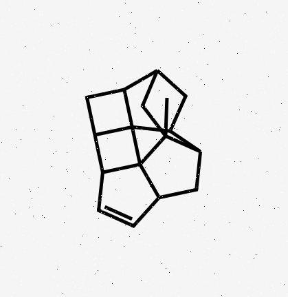 CC12CC3CC4C1CC1C=CC5C6CC3C46C152